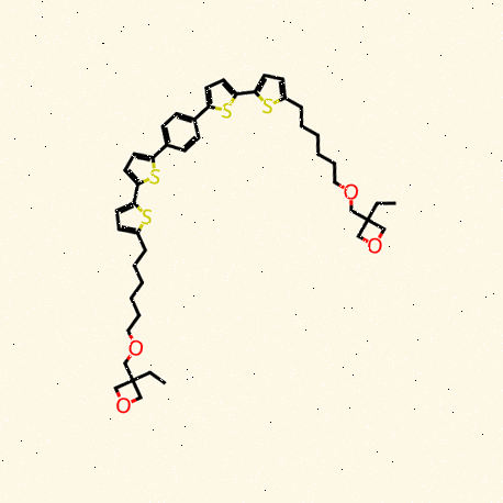 CCC1(COCCCCCCc2ccc(-c3ccc(-c4ccc(-c5ccc(-c6ccc(CCCCCCOCC7(CC)COC7)s6)s5)cc4)s3)s2)COC1